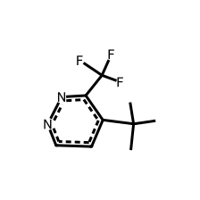 CC(C)(C)c1ccnnc1C(F)(F)F